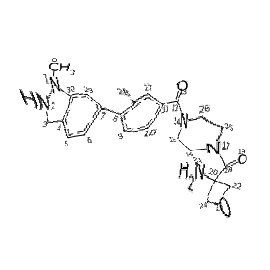 CN1NCc2ccc(-c3ccc(C(=O)N4CCN(C(=O)C5(N)COC5)CC4)cc3)cc21